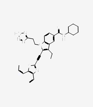 C=Cc1nc(C#Cc2c(CC)c3cc(C(=O)NC4CCCCC4)ccc3n2CCc2nn[nH]n2)sc1/C=C\C